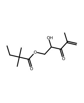 C=C(C)C(=O)C(O)COC(=O)C(C)(C)CC